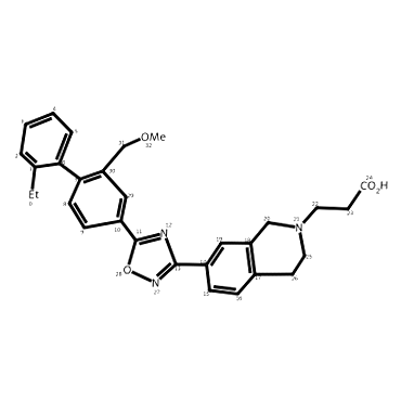 CCc1ccccc1-c1ccc(-c2nc(-c3ccc4c(c3)CN(CCC(=O)O)CC4)no2)cc1COC